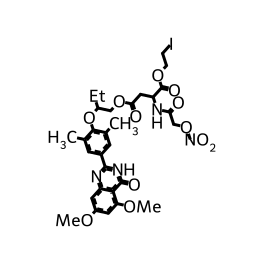 CCC(COC(=O)CC(NC(=O)CO[N+](=O)[O-])C(=O)OCCI)Oc1c(C)cc(-c2nc3cc(OC)cc(OC)c3c(=O)[nH]2)cc1C